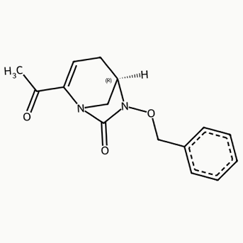 CC(=O)C1=CC[C@@H]2CN1C(=O)N2OCc1ccccc1